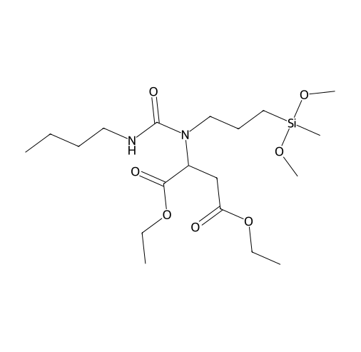 CCCCNC(=O)N(CCC[Si](C)(OC)OC)C(CC(=O)OCC)C(=O)OCC